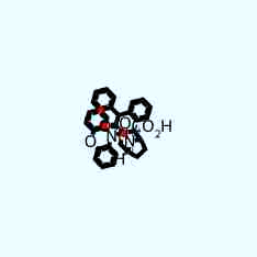 O=C(O)[C@@H]1C2CC[C@@H](CN1C(=O)C(c1ccccc1)c1ccccc1)N2C(=O)N1c2ccccc2Oc2ccccc21